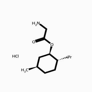 CC(C)[C@@H]1CC[C@@H](C)C[C@H]1OC(=O)CN.Cl